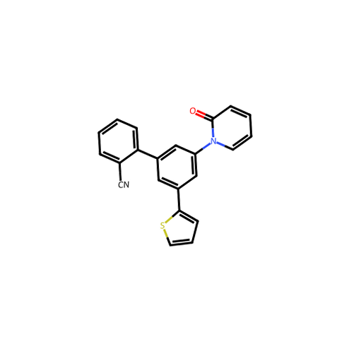 N#Cc1ccccc1-c1cc(-c2cccs2)cc(-n2ccccc2=O)c1